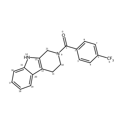 O=C(c1ccc(C(F)(F)F)cc1)N1CCc2c([nH]c3ccccc23)C1